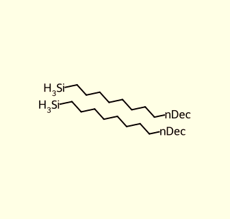 CCCCCCCCCCCCCCCCCC[SiH3].CCCCCCCCCCCCCCCCCC[SiH3]